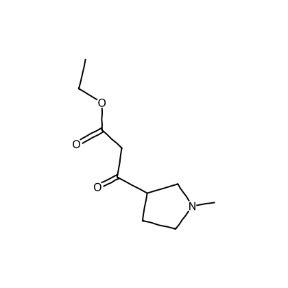 CCOC(=O)CC(=O)C1CCN(C)C1